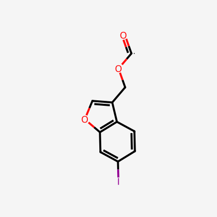 O=[C]OCc1coc2cc(I)ccc12